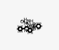 N=C(NC=O)Nc1cc(-c2ccccc2)nc2cccc(NS(=O)(=O)C3CCCCC3)c12